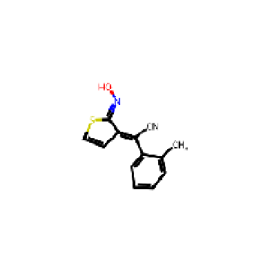 Cc1ccccc1/C(C#N)=C1\C=CSC1=NO